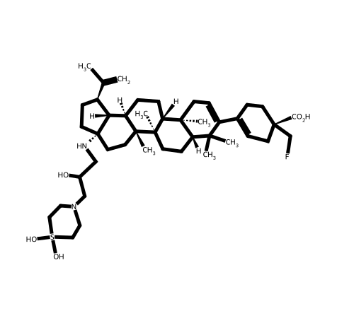 C=C(C)[C@@H]1CC[C@]2(NCC(O)CN3CCS(O)(O)CC3)CC[C@]3(C)[C@H](CC[C@@H]4[C@@]5(C)CC=C(C6=CC[C@](CF)(C(=O)O)CC6)C(C)(C)[C@@H]5CC[C@]43C)[C@@H]12